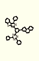 c1ccc(-c2nc(-c3ccccc3)nc(-c3cc(-c4ccc5c(ccc6ccccc65)c4)cc(-c4nc(-c5ccccc5)c5c(n4)sc4ccccc45)c3)n2)cc1